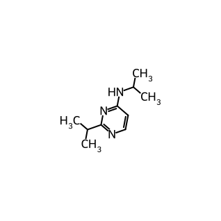 CC(C)Nc1ccnc(C(C)C)n1